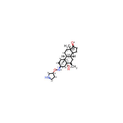 C=C1C[C@H]2[C@@H]3CCC(=O)[C@@]3(C)CC[C@@H]2[C@@]2(C)CC/C(=N\OC3CCNC3)C[C@]12O